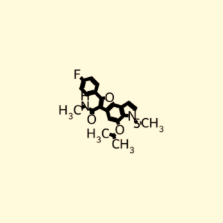 CNC(=O)c1c(-c2ccc(F)cc2)oc2c1cc(OC(C)C)c1c2ccn1SC